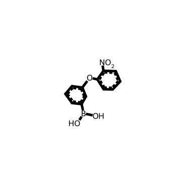 O=[N+]([O-])c1ccccc1Oc1cccc(B(O)O)c1